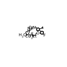 CCOC(=O)C1(C)CCN(C2=NOC3(C2)CN(Cc2cc(OCCC4CC4(F)F)c(-c4ccc(F)cc4)c(C4CC4)c2)C3)CC1